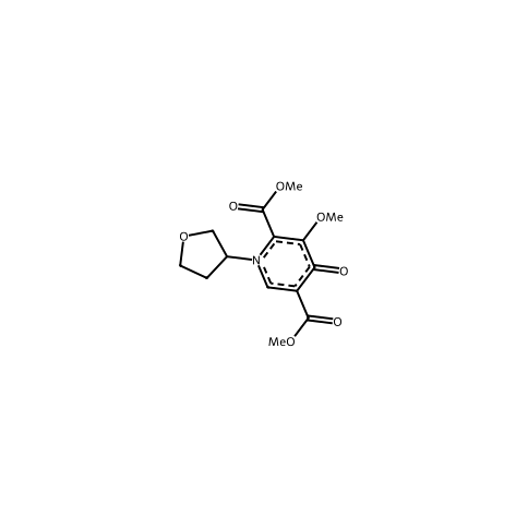 COC(=O)c1cn(C2CCOC2)c(C(=O)OC)c(OC)c1=O